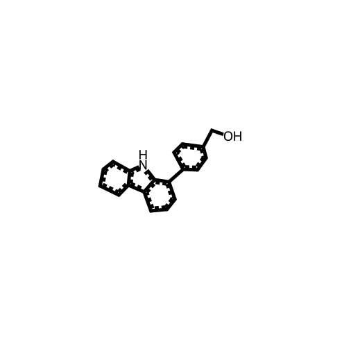 OCc1ccc(-c2cccc3c2[nH]c2ccccc23)cc1